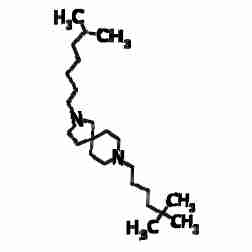 CC(C)CCCCCN1CCC2(CCN(CCCCC(C)(C)C)CC2)C1